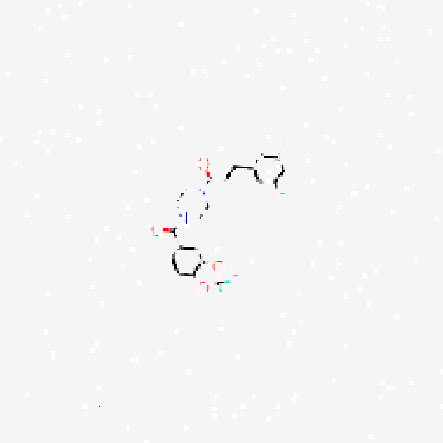 O=C(/C=C/c1cc(F)cc(F)c1)N1CCN(C(=O)c2ccc3c(c2)OC(F)(F)O3)CC1